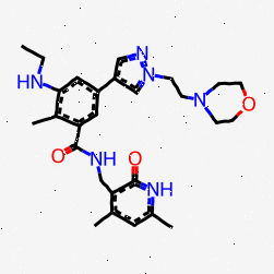 CCNc1cc(-c2cnn(CCN3CCOCC3)c2)cc(C(=O)NCc2c(C)cc(C)[nH]c2=O)c1C